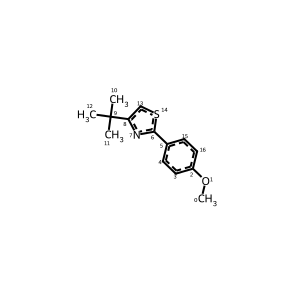 COc1ccc(-c2nc(C(C)(C)C)cs2)cc1